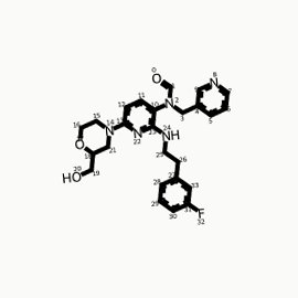 O=CN(Cc1cccnc1)c1ccc(N2CCOC(CO)C2)nc1NCCc1cccc(F)c1